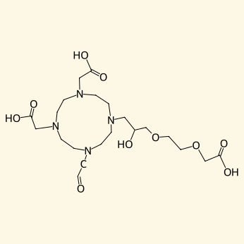 O=CCN1CCN(CC(=O)O)CCN(CC(=O)O)CCN(CC(O)COCCOCC(=O)O)CC1